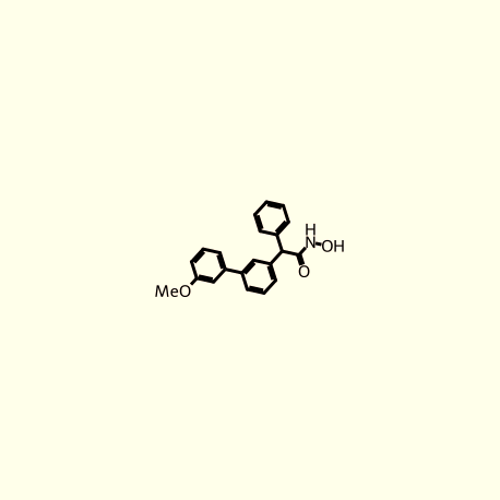 COc1cccc(-c2cccc(C(C(=O)NO)c3ccccc3)c2)c1